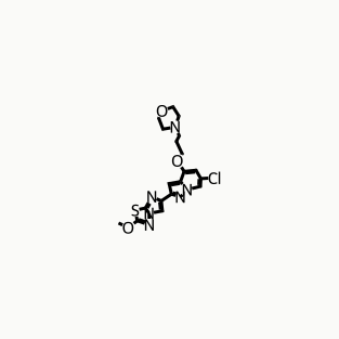 COc1nn2cc(-c3cc4c(OCCCN5CCOCC5)cc(Cl)cn4n3)nc2s1